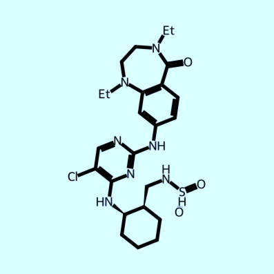 CCN1CCN(CC)c2cc(Nc3ncc(Cl)c(N[C@@H]4CCCC[C@@H]4CN[SH](=O)=O)n3)ccc2C1=O